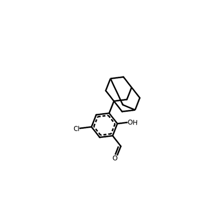 O=Cc1cc(Cl)cc(C23CC4CC(CC(C4)C2)C3)c1O